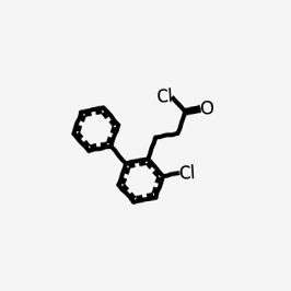 O=C(Cl)CCc1c(Cl)cccc1-c1ccccc1